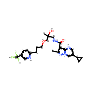 Cc1nn2cc(C3CC3)cnc2c1C(=O)NCC(C)(O)COCCCc1ccc(C(F)(F)F)cn1